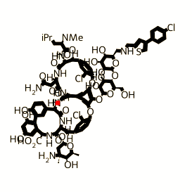 CN[C@H](CC(C)C)C(=O)NC1C(=O)N[C@@H](CC(N)=O)C(=O)N[C@H]2C(=O)N[C@H]3C(=O)N[C@H](C(=O)N[C@@H](C(=O)O)c4cc(O)cc(O)c4-c4cc3ccc4O)[C@H](O[C@H]3C[C@](C)(N)[C@@H](O)[C@H](C)O3)c3ccc(c(Cl)c3)Oc3cc2cc(c3O[C@@H]2O[C@H](CO)[C@@H](O[C@@H]3O[C@H](CNCc4cc(-c5ccc(Cl)cc5)cs4)[C@H](O)[C@H](O)[C@H]3O)[C@H](O)[C@H]2O)Oc2ccc(cc2Cl)[C@H]1O